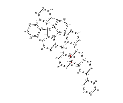 c1ccc(-c2ccc3cc(-c4ccccc4N(c4ccccc4)c4cccc5c4-c4ccccc4C5(c4ccccc4)c4ccccc4)ccc3c2)cc1